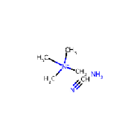 C#N.C[N+](C)(C)C.N